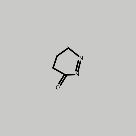 O=C1CC[C]N=N1